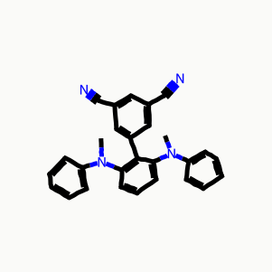 CN(c1ccccc1)c1cccc(N(C)c2ccccc2)c1-c1cc(C#N)cc(C#N)c1